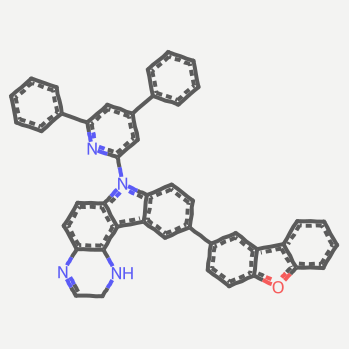 C1=Nc2ccc3c(c2NC1)c1cc(-c2ccc4oc5ccccc5c4c2)ccc1n3-c1cc(-c2ccccc2)cc(-c2ccccc2)n1